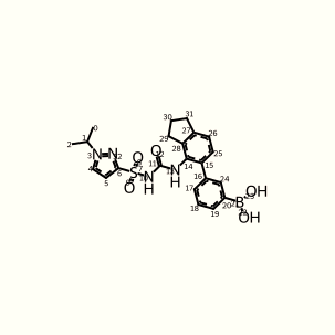 CC(C)n1ccc(S(=O)(=O)NC(=O)Nc2c(-c3cccc(B(O)O)c3)ccc3c2CCC3)n1